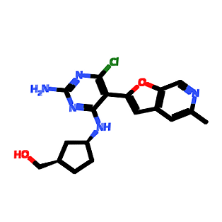 Cc1cc2cc(-c3c(Cl)nc(N)nc3N[C@H]3CC[C@@H](CO)C3)oc2cn1